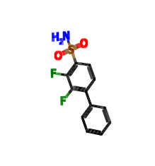 NS(=O)(=O)c1ccc(-c2ccccc2)c(F)c1F